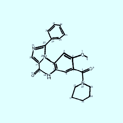 COc1cc2c(cc1C(=O)N1CCCCC1)[nH]c(=O)c1cnc(-c3ccccc3)n12